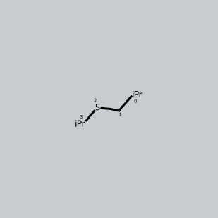 [CH2]C(C)CSC(C)C